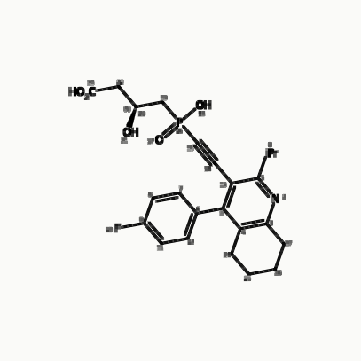 CC(C)c1nc2c(c(-c3ccc(F)cc3)c1C#CP(=O)(O)C[C@@H](O)CC(=O)O)CCCC2